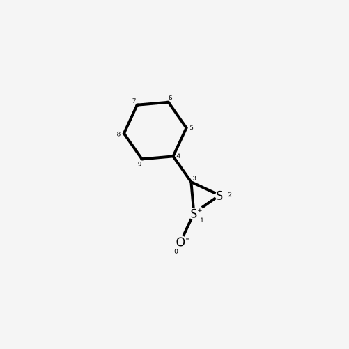 [O-][S+]1SC1C1CCCCC1